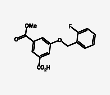 COC(=O)c1cc(OCc2ccccc2F)cc(C(=O)O)c1